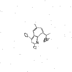 Cc1cc(C(C)Br)c2nc(Cl)cc(Cl)c2c1